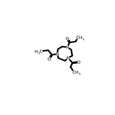 CCC(=O)N1CCN(C(=O)CC)CCN(C(=O)CC)CC1